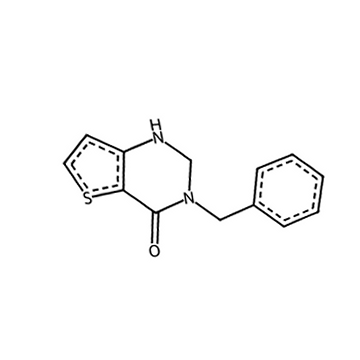 O=C1c2sccc2NCN1Cc1ccccc1